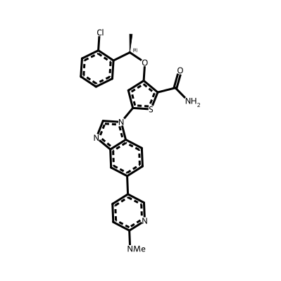 CNc1ccc(-c2ccc3c(c2)ncn3-c2cc(O[C@H](C)c3ccccc3Cl)c(C(N)=O)s2)cn1